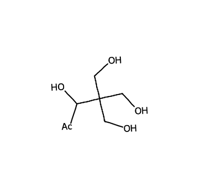 CC(=O)C(O)C(CO)(CO)CO